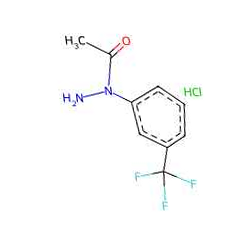 CC(=O)N(N)c1cccc(C(F)(F)F)c1.Cl